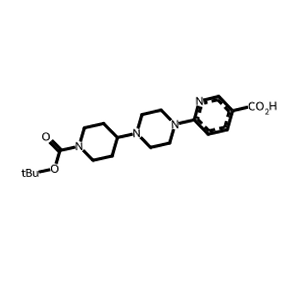 CC(C)(C)OC(=O)N1CCC(N2CCN(c3ccc(C(=O)O)cn3)CC2)CC1